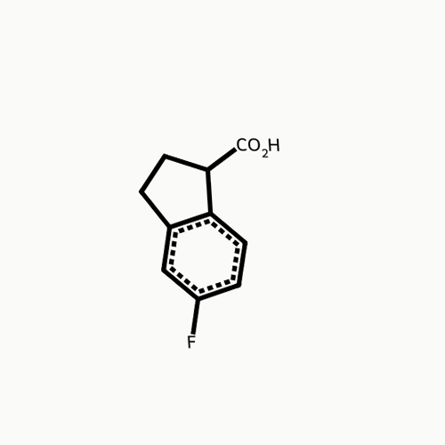 O=C(O)C1CCc2cc(F)ccc21